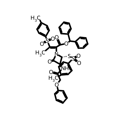 C/C(=C(/C(=O)OC(c1ccccc1)c1ccccc1)N1C(=O)[C@@H](NC(=O)COc2ccccc2)[C@H]1SS(=O)(=O)c1ccc(C)cc1)S(=O)(=O)c1ccc(C)cc1